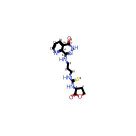 O=C1OCCC1NC(=S)NCCCNc1n[nH]c(=O)c2cccnc12